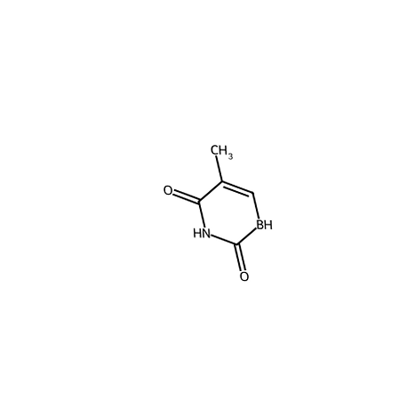 CC1=CBC(=O)NC1=O